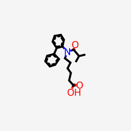 CC(C)C(=O)N(CCCCCC(=O)O)c1ccccc1-c1ccccc1